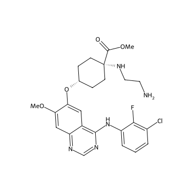 COc1cc2ncnc(Nc3cccc(Cl)c3F)c2cc1O[C@H]1CC[C@](NCCN)(C(=O)OC)CC1